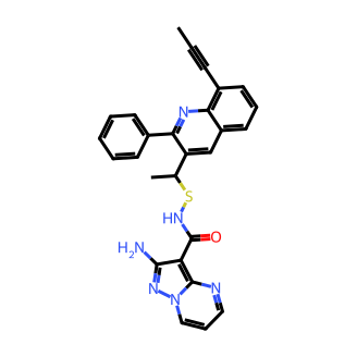 CC#Cc1cccc2cc(C(C)SNC(=O)c3c(N)nn4cccnc34)c(-c3ccccc3)nc12